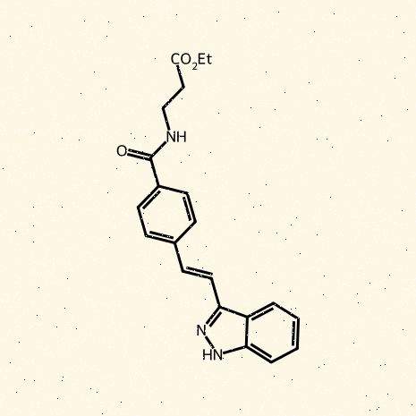 CCOC(=O)CCNC(=O)c1ccc(/C=C/c2n[nH]c3ccccc23)cc1